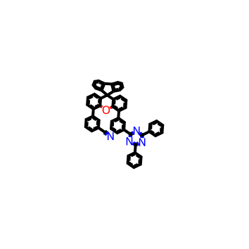 N#Cc1cccc(-c2cccc3c2Oc2c(-c4cccc(-c5nc(-c6ccccc6)nc(-c6ccccc6)n5)c4)cccc2C32c3ccccc3-c3ccccc32)c1